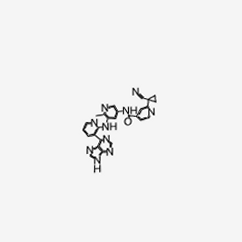 Cc1ncc(NC(=O)c2ccnc(C3(C#N)CC3)c2)cc1Nc1ncccc1-c1ncnc2[nH]cnc12